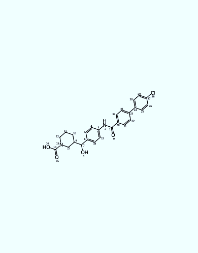 O=C(Nc1ccc(C(O)C2CCCN(C(=O)O)C2)cc1)c1ccc(-c2ccc(Cl)cc2)cc1